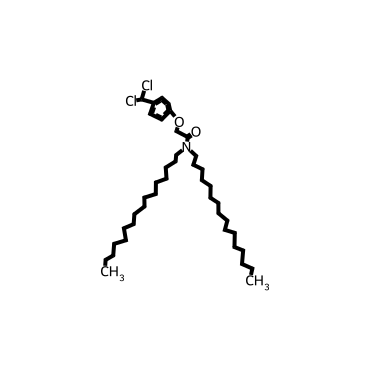 CCCCCCCCCCCCCCCCN(CCCCCCCCCCCCCCCC)C(=O)COc1ccc(C(Cl)Cl)cc1